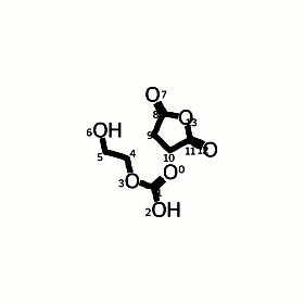 O=C(O)OCCO.O=C1CCC(=O)O1